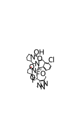 Cn1nnc(COc2ccc(Cl)c3c2[C@@H](CN2CCCC2=O)N(C(=O)C2CCCN2C(=O)O)CC3)c1C(F)F